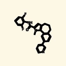 Cn1c(C(=O)Nc2c(F)cccc2F)cc2c1-c1cc(-c3cccnc3)ccc1CCC2